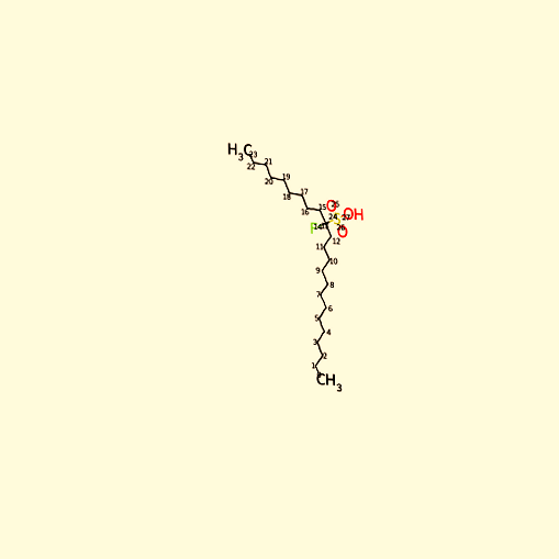 CCCCCCCCCCCCCC(F)(CCCCCCCCC)S(=O)(=O)O